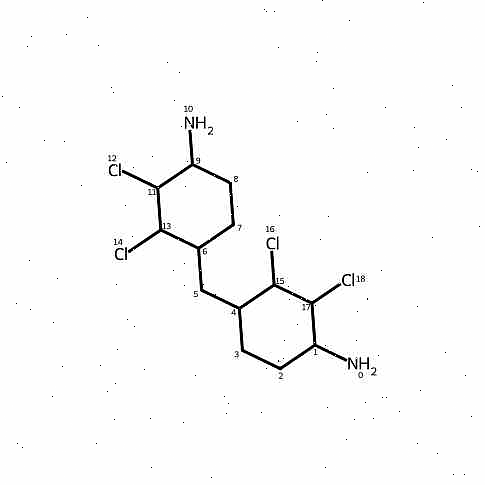 NC1CCC(CC2CCC(N)C(Cl)C2Cl)C(Cl)C1Cl